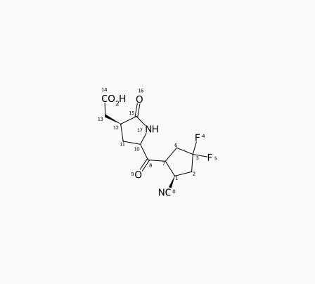 N#C[C@@H]1CC(F)(F)CC1C(=O)C1C[C@@H](CC(=O)O)C(=O)N1